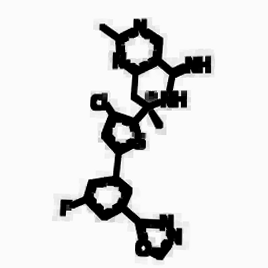 Cc1ncc2c(n1)C[C@@](C)(c1sc(-c3cc(F)cc(-c4nnco4)c3)cc1Cl)NC2=N